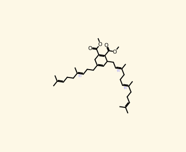 COC(=O)C1=C(C(=O)OC)C(C/C=C(\C)CC/C=C(\C)CCC=C(C)C)C=C(CC/C=C(\C)CCC=C(C)C)C1